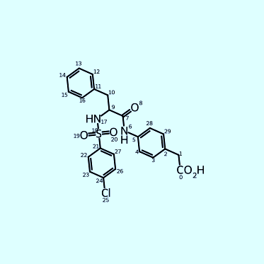 O=C(O)Cc1ccc(NC(=O)C(Cc2ccccc2)NS(=O)(=O)c2ccc(Cl)cc2)cc1